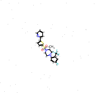 C[C@@H]1CN(c2ccc(F)cc2C(F)(F)F)CCN1S(=O)(=O)c1ccc(-c2ccccn2)s1